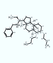 CC[C@H](NCc1ccccc1)C1CC[C@H]2[C@@H]3CC[C@H](CCOC)[C@H](CCCO)[C@H]3CC[C@]12C